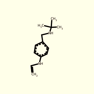 C=CNc1ccc(CNC(C)(C)C)cc1